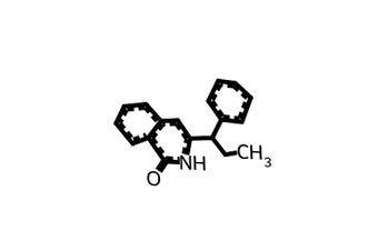 CCC(c1ccccc1)c1cc2ccccc2c(=O)[nH]1